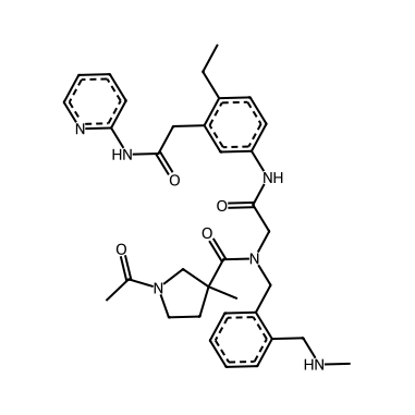 CCc1ccc(NC(=O)CN(Cc2ccccc2CNC)C(=O)C2(C)CCN(C(C)=O)C2)cc1CC(=O)Nc1ccccn1